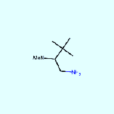 CNC(CN)C(C)(C)C